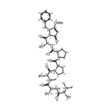 COC1=CC(=O)N(C(=O)[C@@H](OC(=O)C2CCCN2C(=O)C2CCCN2C(=O)[C@H](C(C)C)N(C)C(=O)C(NC(=O)[C@H](C(C)C)N(C)C)C(C)C)C(C)C)[C@H]1Cc1ccccc1